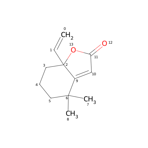 C=CC12CCCC(C)(C)C1=CC(=O)O2